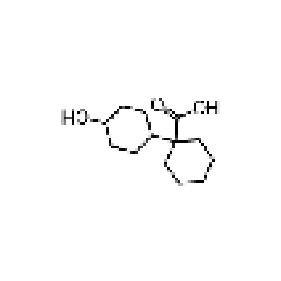 O=C(O)C1(C2CCC(O)CC2)CCCCC1